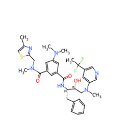 Cc1csc(CN(C)C(=O)c2cc(C(=O)N[C@@H](Cc3ccccc3)[C@H](O)CN(C)c3cncc(C(C)(F)F)c3)cc(N(C)C)c2)n1